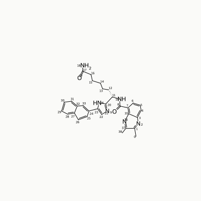 Cc1nc2cccc(C(=O)N[C@@H](CCCCCC(N)=O)c3ncc(-c4ccc5ccccc5c4)[nH]3)c2nc1C